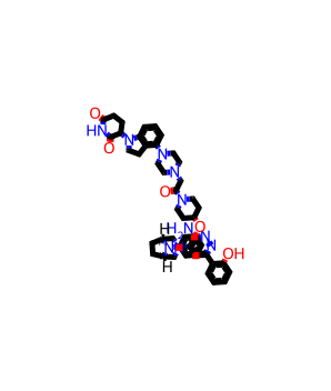 Nc1nnc(-c2ccccc2O)cc1N1C[C@H]2CC[C@@H](C1)N2c1cccc(OC2CCN(C(=O)CN3CCN(c4cccc5c4CCN5C4CCC(=O)NC4=O)CC3)CC2)c1